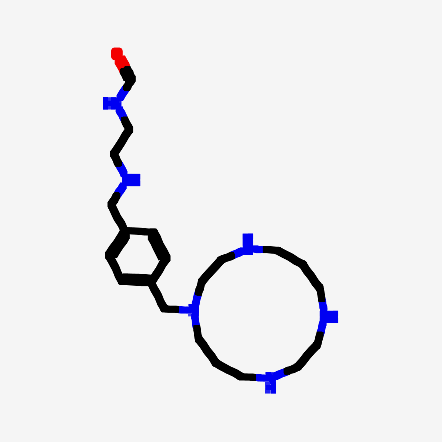 O=CNCCNCc1ccc(CN2CCCNCCNCCCNCC2)cc1